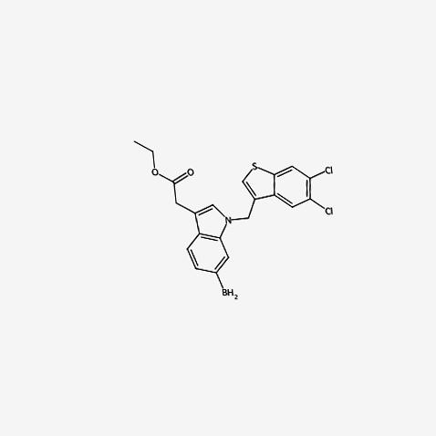 Bc1ccc2c(CC(=O)OCC)cn(Cc3csc4cc(Cl)c(Cl)cc34)c2c1